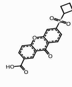 O=C(O)c1ccc2oc3cc(S(=O)(=O)C4CCC4)ccc3c(=O)c2c1